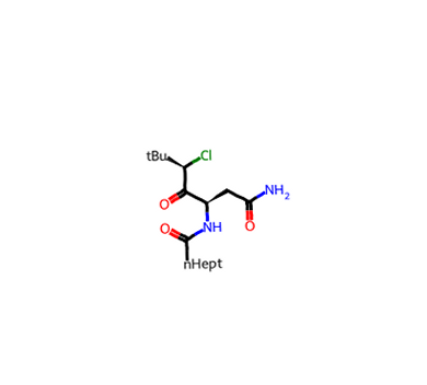 CCCCCCCC(=O)N[C@H](CC(N)=O)C(=O)[C@H](Cl)C(C)(C)C